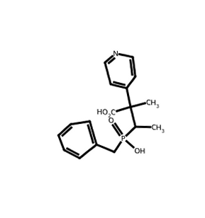 CC(C(C)(C(=O)O)c1ccncc1)P(=O)(O)Cc1ccccc1